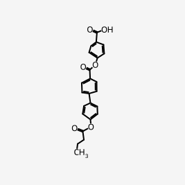 CCCC(=O)Oc1ccc(-c2ccc(C(=O)Oc3ccc(C(=O)O)cc3)cc2)cc1